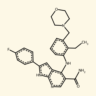 CCc1c(CN2CCOCC2)cccc1Nc1c(C(N)=O)cnc2[nH]c(-c3ccc(F)cc3)cc12